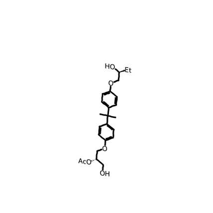 CC[C@H](O)COc1ccc(C(C)(C)c2ccc(OC[C@H](CO)OC(C)=O)cc2)cc1